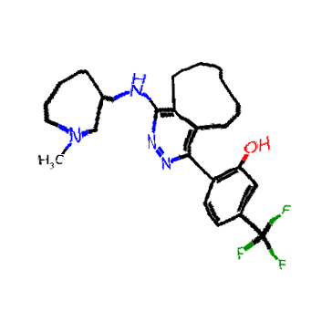 CN1CCCC(Nc2nnc(-c3ccc(C(F)(F)F)cc3O)c3c2CCCCC3)C1